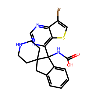 O=C(O)NC1(c2ncnc3c(Br)csc23)c2ccccc2CC12CCNCC2